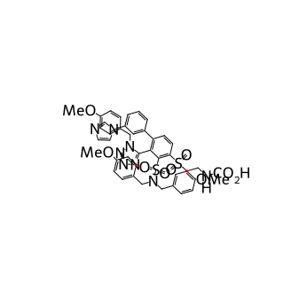 COc1ccc(CN(Cc2ccc(OC)cc2)S(=O)(=O)c2c(S(=O)(=O)CCNC(=O)O)ccc(-c3cccc(-n4ccnc4)c3)c2-c2nnnn2Cc2ccc(OC)cc2)cc1